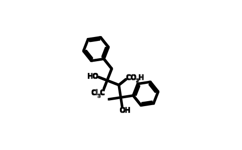 CC(O)(c1ccccc1)C(C(=O)O)C(O)(Cc1ccccc1)C(Cl)(Cl)Cl